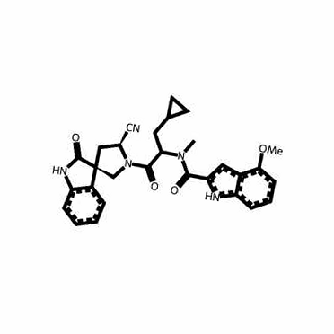 COc1cccc2[nH]c(C(=O)N(C)C(CC3CC3)C(=O)N3C[C@]4(C[C@H]3C#N)C(=O)Nc3ccccc34)cc12